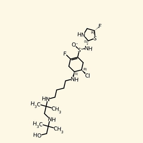 CC(C)(CO)NCC(C)(C)NCCCCN[C@H]1CC(F)=C([S+]([O-])N[C@@H]2NC[C@H](F)S2)C[C@H]1Cl